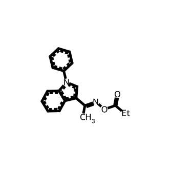 CCC(=O)O/N=C(\C)c1cn(-c2ccccc2)c2ccccc12